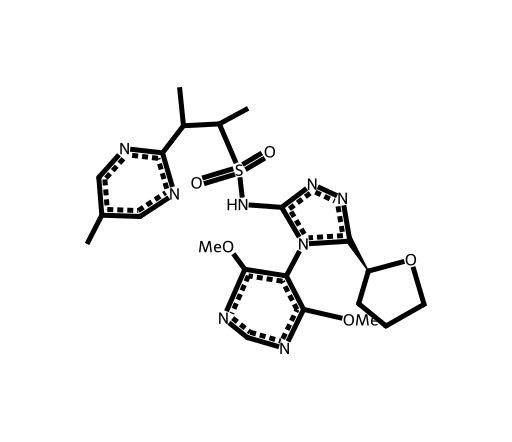 COc1ncnc(OC)c1-n1c(NS(=O)(=O)C(C)C(C)c2ncc(C)cn2)nnc1[C@@H]1CCCO1